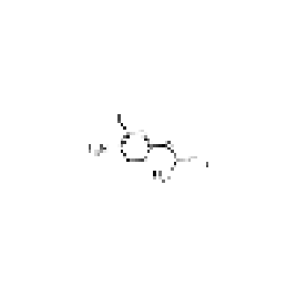 CC(C)Oc1ccc(N)c(I)c1